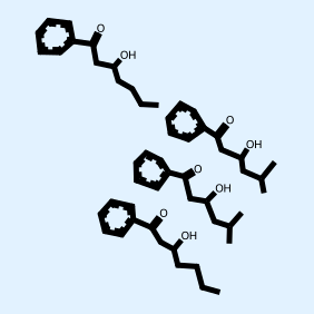 CC(C)CC(O)CC(=O)c1ccccc1.CC(C)CC(O)CC(=O)c1ccccc1.CCCCC(O)CC(=O)c1ccccc1.CCCCC(O)CC(=O)c1ccccc1